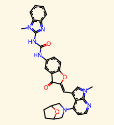 Cn1cc(C=C2Oc3ccc(NC(=O)Nc4nc5ccccc5n4C)cc3C2=O)c2c(N3CC4CCC(C3)O4)ccnc21